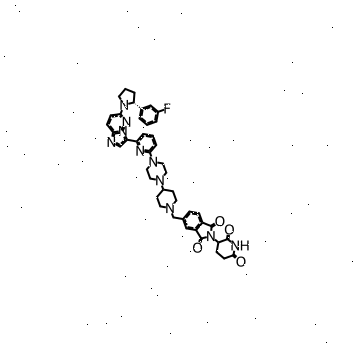 O=C1CCC(N2C(=O)c3ccc(CN4CCC(N5CCN(c6cccc(-c7cnc8ccc(N9CCC[C@@H]9c9cccc(F)c9)nn78)n6)CC5)CC4)cc3C2=O)C(=O)N1